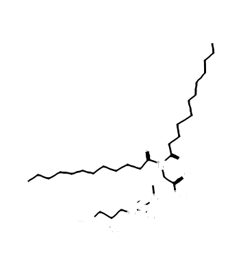 CCCCCCCCCCCC(=O)N(C(=O)CCCCCCCCCCC)[C@@H](COP(=O)(O)OC[C@H](O)CO)C(=O)O